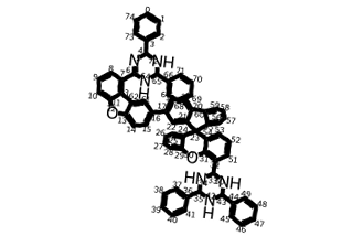 c1ccc(C2N=C(c3cccc4oc5ccc(-c6ccc7c(c6)C6(c8ccccc8Oc8c(C9NC(c%10ccccc%10)NC(c%10ccccc%10)N9)cccc86)c6ccccc6-7)cc5c34)NC(c3ccccc3)N2)cc1